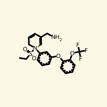 CCS(=O)(=O)[N+]1(c2cccc(Oc3ccccc3OC(F)(F)F)c2)C=C(CN)C=CC1